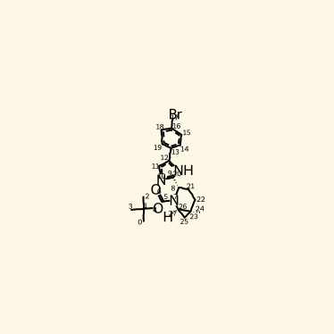 CC(C)(C)OC(=O)N1[C@H](c2ncc(-c3ccc(Br)cc3)[nH]2)CC[C@@]2(C)C[C@@H]12